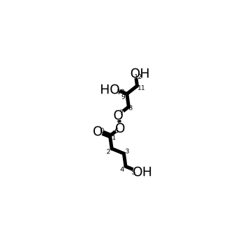 O=C(CCCO)OOCC(O)CO